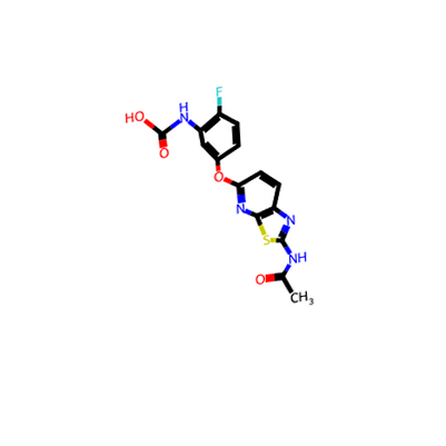 CC(=O)Nc1nc2ccc(Oc3ccc(F)c(NC(=O)O)c3)nc2s1